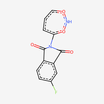 O=C1c2ccc(F)cc2C(=O)N1c1ccco[nH]o1